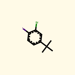 CC(C)(C)c1ccc(I)c(Br)c1